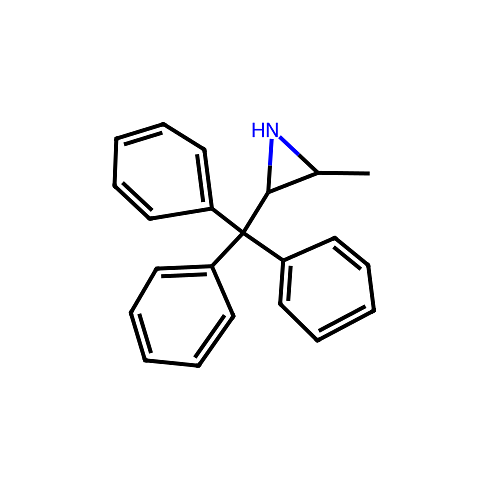 CC1NC1C(c1ccccc1)(c1ccccc1)c1ccccc1